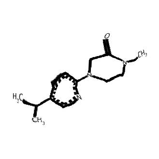 CC(C)c1ccc(N2CCN(C)C(=O)C2)nc1